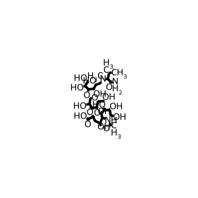 CC(=O)NC1C(O)CC(O[C@H]2C(O)C(CO)OC(OC(C(O)CO)C(O)C(O)CN(C)C(C(N)=O)C(C)C)C2O)(C(=O)O)OC1C(O)C(O)CO